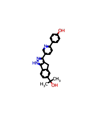 CC(C)(O)c1ccc2c(c1)Cc1c(-c3ccc(-c4ccc(O)cc4)nc3)n[nH]c1-2